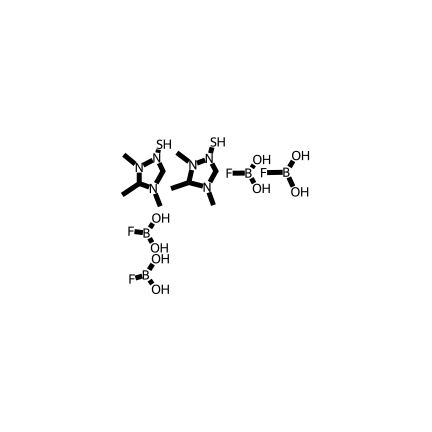 CC1N(C)CN(S)N1C.CC1N(C)CN(S)N1C.OB(O)F.OB(O)F.OB(O)F.OB(O)F